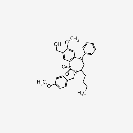 CCCCC1CN(c2ccccc2)c2cc(OC)c(CO)cc2S(=O)(=O)N1Cc1ccc(OC)cc1